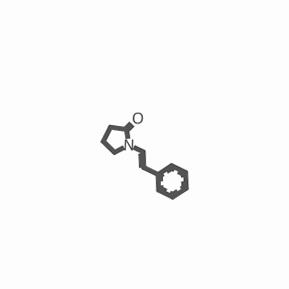 O=C1CCCN1C=Cc1ccccc1